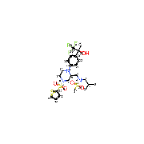 CC(C)CN(C[C@H]1CN(S(=O)(=O)c2cccs2)CCN1c1ccc([C@@](C)(O)C(F)(F)F)cc1)S(C)(=O)=O